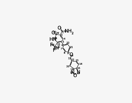 NC(=O)c1cc(-c2ccc(OCc3ccc4nonc4c3)cc2)c(C(F)(F)F)[nH]c1=O